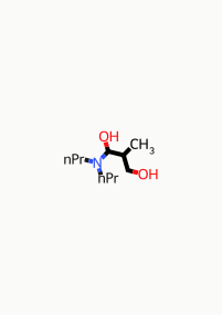 CCCN(CCC)C(O)C(C)CO